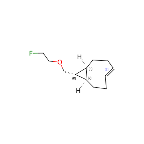 FCCOC[C@H]1[C@@H]2CC/C=C/CC[C@@H]21